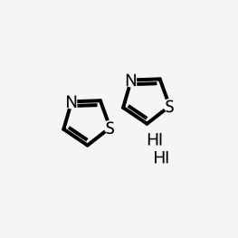 I.I.c1cscn1.c1cscn1